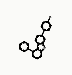 Brc1ccc(-c2ccc3c(c2)oc2cccc(-c4ccccc4)c23)cc1